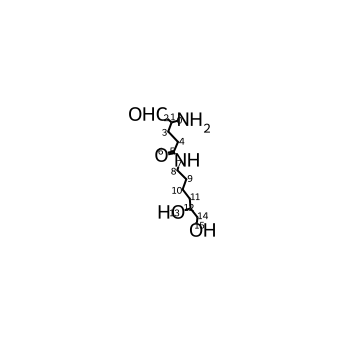 NC(C=O)CCC(=O)NCCCCC(O)CO